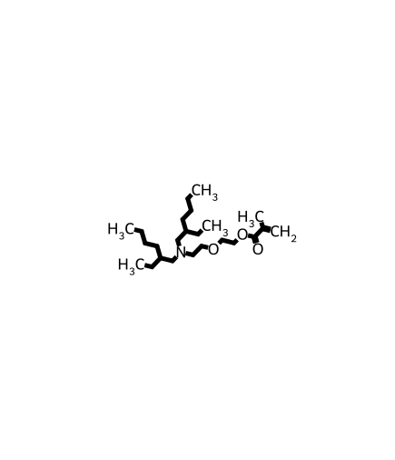 C=C(C)C(=O)OCCOCCN(CC(CC)CCCC)CC(CC)CCCC